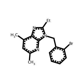 CCc1nc2c(C)cc(C)nc2n1Cc1ccccc1Br